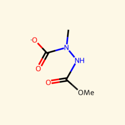 COC(=O)NN(C)C([O])=O